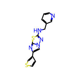 c1cncc(CNc2nn3cc(-c4ccsc4)nc3s2)c1